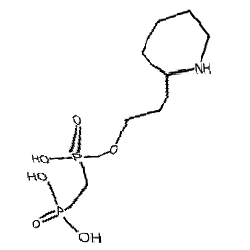 O=P(O)(O)CP(=O)(O)OCCC1CCCCN1